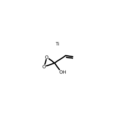 C=CC1(O)OO1.[Ti]